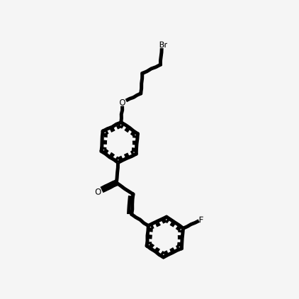 O=C(C=Cc1cccc(F)c1)c1ccc(OCCCBr)cc1